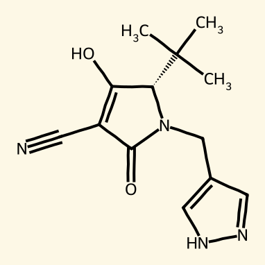 CC(C)(C)[C@H]1C(O)=C(C#N)C(=O)N1Cc1cn[nH]c1